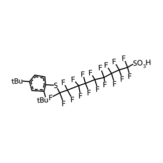 CC(C)(C)c1ccc(SC(F)(F)C(F)(F)C(F)(F)C(F)(F)C(F)(F)C(F)(F)C(F)(F)C(F)(F)C(F)(F)S(=O)(=O)O)c(C(C)(C)C)c1